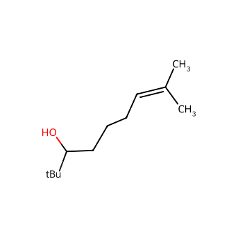 CC(C)=CCCCC(O)C(C)(C)C